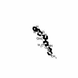 CN1CCn2nc(Nc3cc(-c4ccnc(N5CCn6c(cc7c6[C@H]6CC[C@@H]7C6)C5=O)c4C=O)cn(C)c3=O)cc2C1